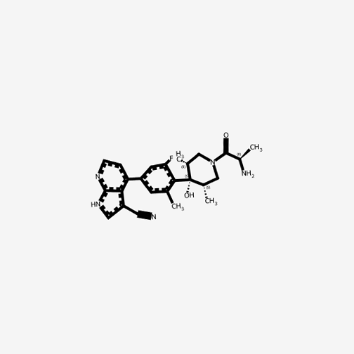 Cc1cc(-c2ccnc3[nH]cc(C#N)c23)cc(F)c1[C@@]1(O)[C@H](C)CN(C(=O)[C@@H](C)N)C[C@@H]1C